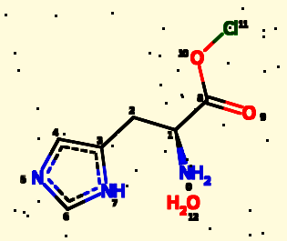 N[C@@H](Cc1cnc[nH]1)C(=O)OCl.O